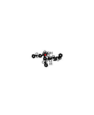 O=C(Oc1ccc(COP(=O)(OCc2ccc(OC(=O)c3ccccc3)cc2)OP(=O)(O)OC[C@H]2O[C@@H](n3ccc(=O)n(Cc4noc5ccccc45)c3=O)C(O)C2O)cc1)c1ccccc1